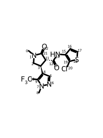 CN1C[C@H](c2cnn(C)c2C(F)(F)F)[C@@H](C(=O)Nc2ccsc2Cl)C1=O